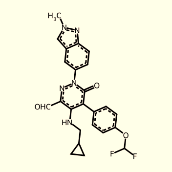 Cn1cc2cc(-n3nc(C=O)c(NCC4CC4)c(-c4ccc(OC(F)F)cc4)c3=O)ccc2n1